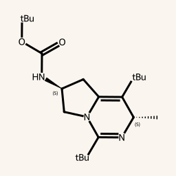 C[C@@H]1N=C(C(C)(C)C)N2C[C@@H](NC(=O)OC(C)(C)C)CC2=C1C(C)(C)C